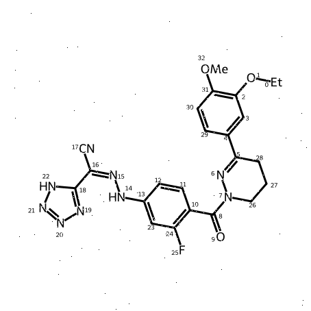 CCOc1cc(C2=NN(C(=O)c3ccc(NN=C(C#N)c4nnn[nH]4)cc3F)CCC2)ccc1OC